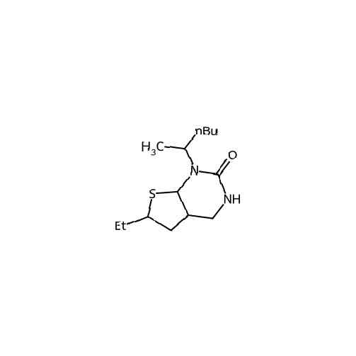 CCCCC(C)N1C(=O)NCC2CC(CC)SC21